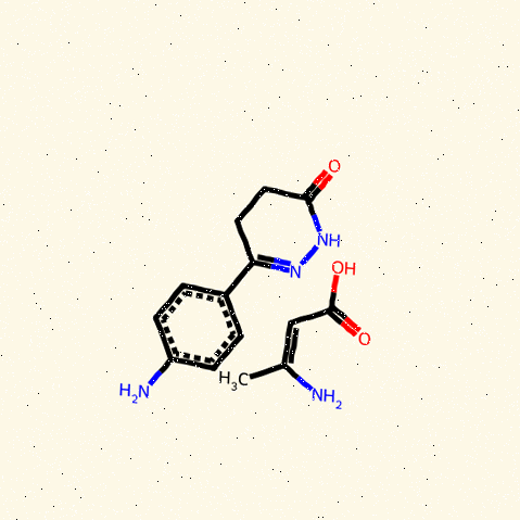 C/C(N)=C/C(=O)O.Nc1ccc(C2=NNC(=O)CC2)cc1